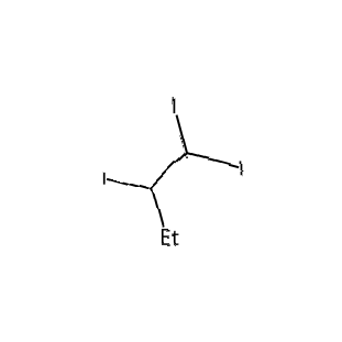 CCC(I)[C](I)I